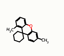 Cc1ccc2c(c1)Oc1cccc(C)c1C21CCCCC1